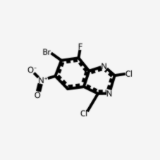 O=[N+]([O-])c1cc2c(Cl)nc(Cl)nc2c(F)c1Br